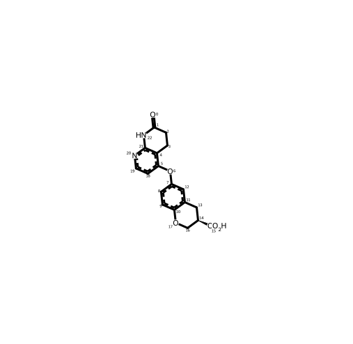 O=C1CCc2c(Oc3ccc4c(c3)C[C@@H](C(=O)O)CO4)ccnc2N1